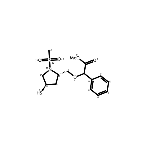 COC(=O)C(OC[C@@H]1C[C@@H](S)CN1S(C)(=O)=O)c1ccccc1